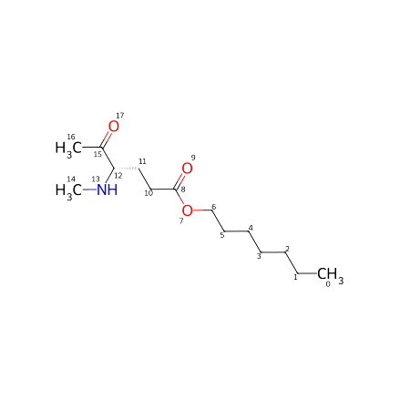 CCCCCCCOC(=O)CC[C@H](NC)C(C)=O